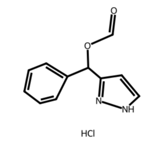 Cl.O=COC(c1ccccc1)c1cc[nH]n1